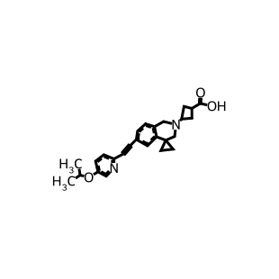 CC(C)Oc1ccc(C#Cc2ccc3c(c2)C2(CC2)CN(C2CC(C(=O)O)C2)C3)nc1